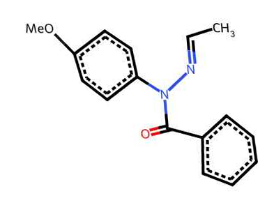 C/C=N/N(C(=O)c1ccccc1)c1ccc(OC)cc1